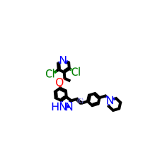 CC(Oc1ccc2[nH]nc(/C=C/c3ccc(CN4CCCCC4)cc3)c2c1)c1c(Cl)cncc1Cl